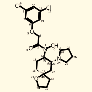 CN(C(=O)COc1cc(Cl)cc(Cl)c1)[C@@H]1CC[C@@]2(CCCO2)C[C@H]1N1CCCC1